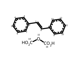 C(=Cc1ccccc1)c1ccccc1.O=C(O)OC(=O)O